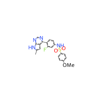 COc1ccc(S(=O)(=O)Nc2ccc(-c3ncnc4[nH]c(C)cc34)c(F)c2)cc1